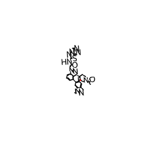 CC(=O)N1CCC(c2nn(CC(=O)Nc3nn4cnnc4s3)c3cccc(-c4cc5c(cnn5C)cc4F)c23)CC1